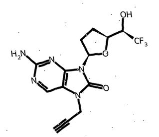 C#CCn1c(=O)n([C@H]2CC[C@@H]([C@@H](O)C(F)(F)F)O2)c2nc(N)ncc21